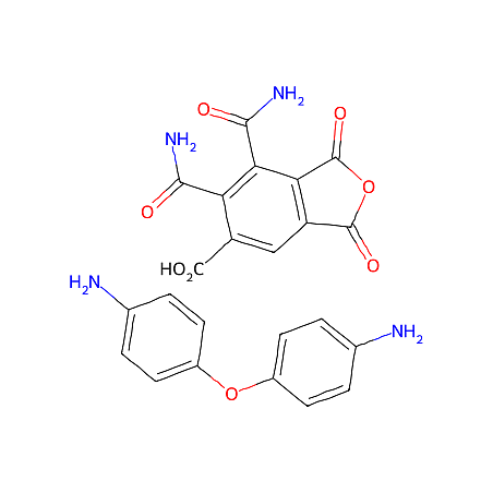 NC(=O)c1c(C(=O)O)cc2c(c1C(N)=O)C(=O)OC2=O.Nc1ccc(Oc2ccc(N)cc2)cc1